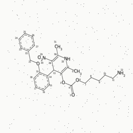 CC1=C(OC(=O)OCCCCCN)C(c2ccccc2OCc2ccccc2)C([N+](=O)[O-])=C(C)N1